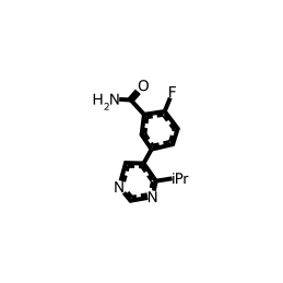 CC(C)c1ncncc1-c1ccc(F)c(C(N)=O)c1